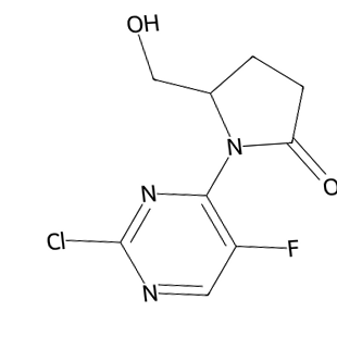 O=C1CCC(CO)N1c1nc(Cl)ncc1F